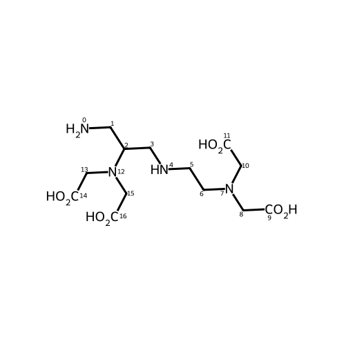 NCC(CNCCN(CC(=O)O)CC(=O)O)N(CC(=O)O)CC(=O)O